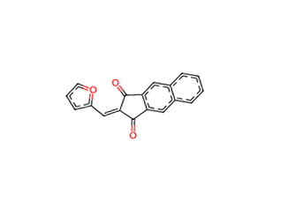 O=C1C(=Cc2ccco2)C(=O)c2cc3ccccc3cc21